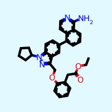 CCOC(=O)Cc1ccccc1OCc1nn(C2CCCC2)c2ccc(-c3cccc4c(N)nccc34)cc12